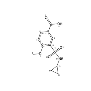 COc1ccc(C(=O)O)cc1S(=O)(=O)NC1CC1